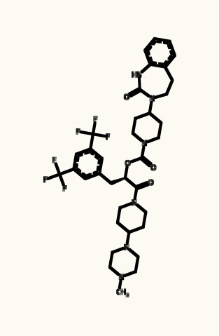 CN1CCN(C2CCN(C(=O)[C@@H](Cc3cc(C(F)(F)F)cc(C(F)(F)F)c3)OC(=O)N3CCC(N4CCc5ccccc5NC4=O)CC3)CC2)CC1